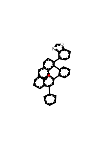 c1ccc(-c2cc(-c3ccccc3-c3c(-c4cccc5ocnc45)ccc4ccccc34)nc3ccccc23)cc1